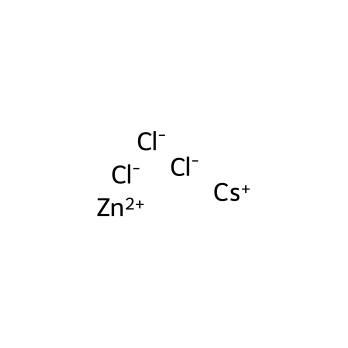 [Cl-].[Cl-].[Cl-].[Cs+].[Zn+2]